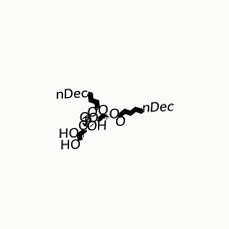 CCCCCCCCCCCCCCC(=O)OC[C@H](COP(=O)(O)OC[C@@H](O)CO)OC(=O)CCCCCCCCCCCCC